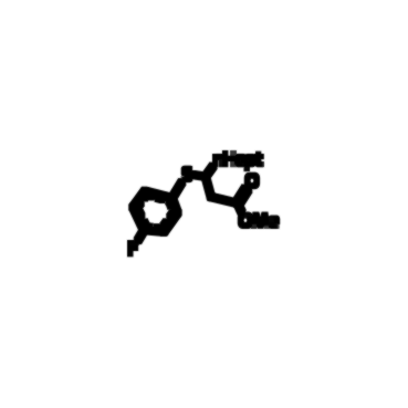 CCCCCCCC(CC(=O)OC)Sc1ccc(F)cc1